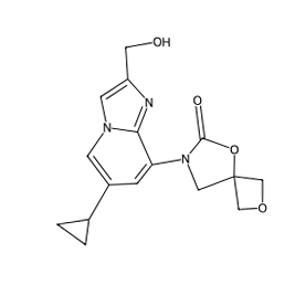 O=C1OC2(COC2)CN1c1cc(C2CC2)cn2cc(CO)nc12